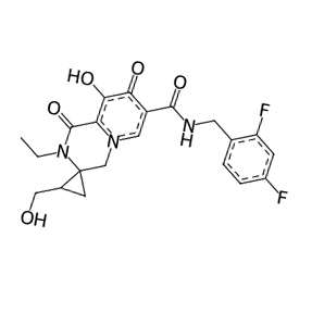 CCN1C(=O)c2c(O)c(=O)c(C(=O)NCc3ccc(F)cc3F)cn2CC12CC2CO